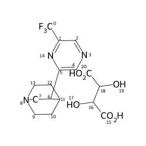 FC(F)(F)c1cncc(C2CN3CCC2CC3)n1.O=C(O)C(O)C(O)C(=O)O